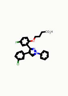 O=C(O)CCCOc1ccc(F)cc1-c1nn(-c2ccccc2)cc1-c1cccc(Cl)c1